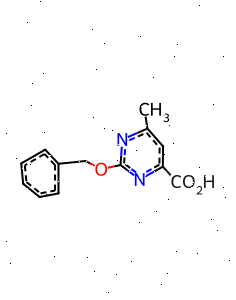 Cc1cc(C(=O)O)nc(OCc2ccccc2)n1